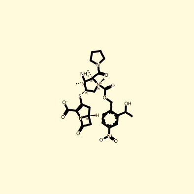 CC(O)c1cc([N+](=O)[O-])ccc1COC(=O)[N@+]1(C)C[C@H](SC2=C(C(=O)[O-])N3C(=O)C[C@H]3C2)[C@@](C)(N)[C@@]1(C)C(=O)N1CCCC1